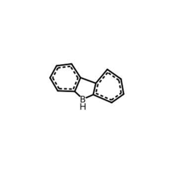 B1c2ccccc2-c2ccccc21